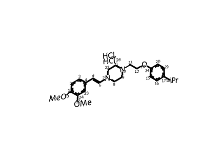 COc1ccc(C=CN2CCN(CCOc3ccc(C(C)C)cc3)CC2)cc1OC.Cl.Cl